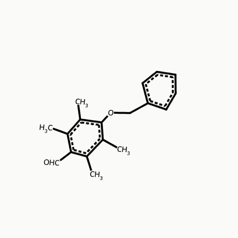 Cc1c(C)c(OCc2ccccc2)c(C)c(C)c1C=O